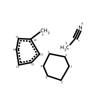 C1CCCCC1.CC#N.Cc1ccccc1